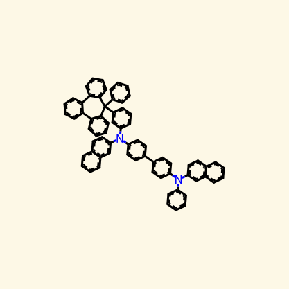 c1ccc(N(c2ccc(-c3ccc(N(c4cccc(C5(c6ccccc6)c6ccccc6-c6ccccc6-c6ccccc65)c4)c4ccc5ccccc5c4)cc3)cc2)c2ccc3ccccc3c2)cc1